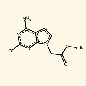 CCCCOC(=O)Cn1ccc2c(N)nc(Cl)nc21